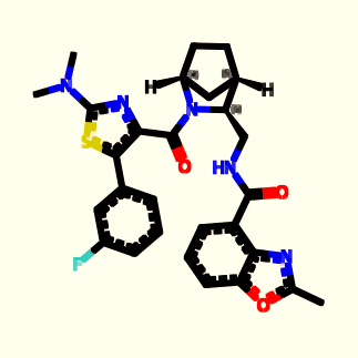 Cc1nc2c(C(=O)NC[C@@H]3[C@H]4CC[C@H](C4)N3C(=O)c3nc(N(C)C)sc3-c3cccc(F)c3)cccc2o1